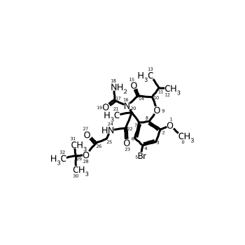 COc1cc(Br)cc2c1OC(C(C)C)C(=O)N(C(N)=O)C2(C)C(=O)NCC(=O)OC(C)(C)C